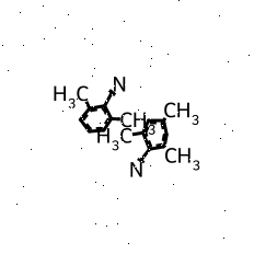 Cc1cc(C)c(C#N)c(C)c1.Cc1cccc(C)c1C#N